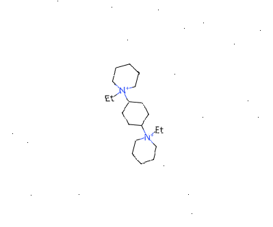 CC[N+]1(C2CCC([N+]3(CC)CCCCC3)CC2)CCCCC1